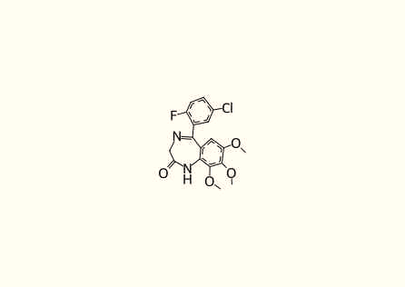 COc1cc2c(c(OC)c1OC)NC(=O)CN=C2c1cc(Cl)ccc1F